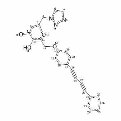 O=c1cc(Cn2ccnn2)oc(COc2ccc(C#CC#Cc3ccccc3)cc2)c1O